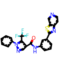 O=C(Nc1cccc(-c2nc3ccncc3s2)c1)c1cnn(-c2ccccc2)c1C(F)(F)F